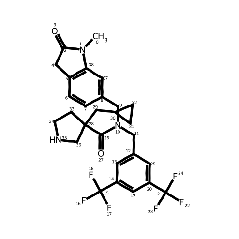 CN1C(=O)Cc2ccc(CN(Cc3cc(C(F)(F)F)cc(C(F)(F)F)c3)C(=O)C3(CC4CC4)CCNC3)cc21